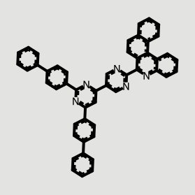 c1ccc(-c2ccc(-c3cc(-c4cnc(-c5nc6ccccc6c6c5ccc5ccccc56)nc4)nc(-c4ccc(-c5ccccc5)cc4)n3)cc2)cc1